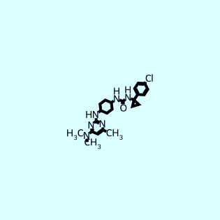 Cc1cc(N(C)C)nc(NC2CCC(NC(=O)NC3(c4ccc(Cl)cc4)CC3)CC2)n1